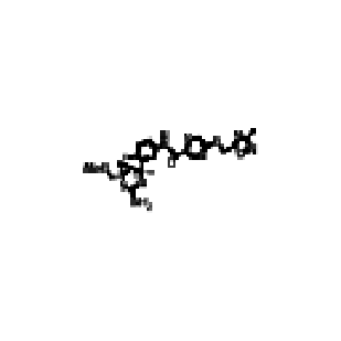 COC[C@]12CC1[C@@](C)(c1cc(NC(=O)c3cnc(OCc4nc(C)no4)cn3)ccc1F)N=C(N)S2